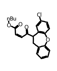 CCCCOC(=O)/C=C\C(=O)C1Cc2ccccc2Oc2ccc(Cl)cc21